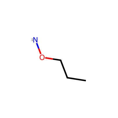 CCCO[N]